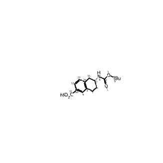 CC(C)(C)OC(=O)N[C@@H]1CCc2cc(C(=O)O)ccc2C1